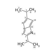 CC(C)C1=CC2=CC(C(C)C)=NC2=C1